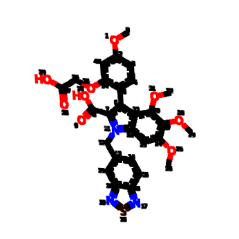 COc1ccc(-c2c(C(=O)O)n(Cc3ccc4nsnc4c3)c3cc(OC)c(OC)c(OC)c23)c(OCC(=O)O)c1